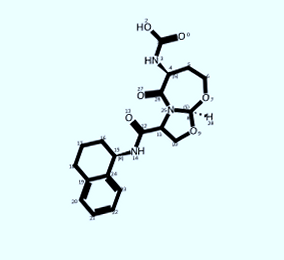 O=C(O)N[C@H]1CCO[C@H]2OCC(C(=O)N[C@@H]3CCCc4ccccc43)N2C1=O